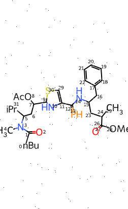 CCCCC(=O)N(C)C(CC(OC(C)=O)C1NC(C(=P)NC(Cc2ccccc2)CC(C)C(=O)OC)=CS1)C(C)C